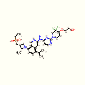 CCS(=O)(=O)C[C@H]1CN(c2ccc(C(C)C)c3cc(Nc4ccnc(N5CC[C@H](OCCO)C(F)(F)C5)n4)ncc23)[C@@H]1C